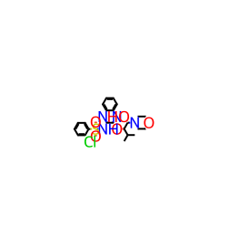 CC(C)C(Oc1nc2ccccc2nc1NS(=O)(=O)c1ccccc1Cl)C(O)N1CCOCC1